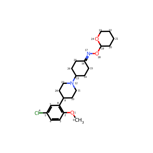 COc1ccc(Cl)cc1C1CCN(C2CCC(=NOC3CCCCO3)CC2)CC1